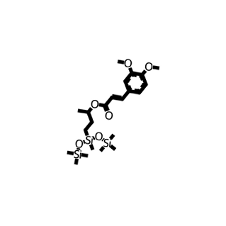 COc1ccc(C=CC(=O)OC(C)CC[Si](C)(O[Si](C)(C)C)O[Si](C)(C)C)cc1OC